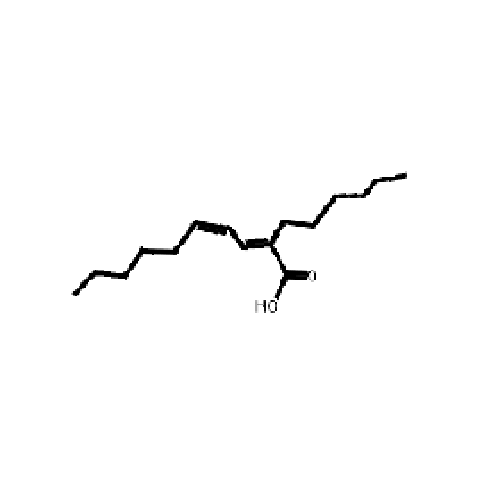 CCCCC/C=C\C=C(/CCCCCC)C(=O)O